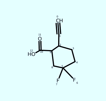 C#CC1CCC(F)(F)CC1C(=O)O